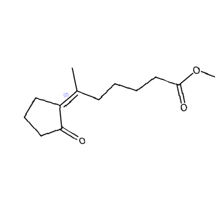 COC(=O)CCCC/C(C)=C1/CCCC1=O